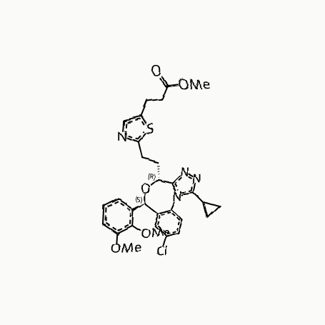 COC(=O)CCc1cnc(CC[C@H]2O[C@H](c3cccc(OC)c3OC)c3cc(Cl)ccc3-n3c(C4CC4)nnc32)s1